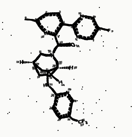 Cc1ccc(-c2ncc(F)cn2)c(C(=O)N2C[C@@H]3CC[C@H]2[C@H](Nc2ccc(C(F)(F)F)cn2)C3)n1